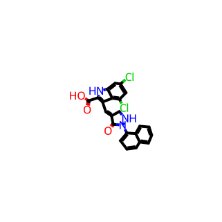 O=C(O)c1[nH]c2cc(Cl)cc(Cl)c2c1C=C1CNN(c2cccc3ccccc23)C1=O